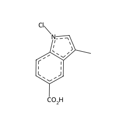 Cc1cn(Cl)c2ccc(C(=O)O)cc12